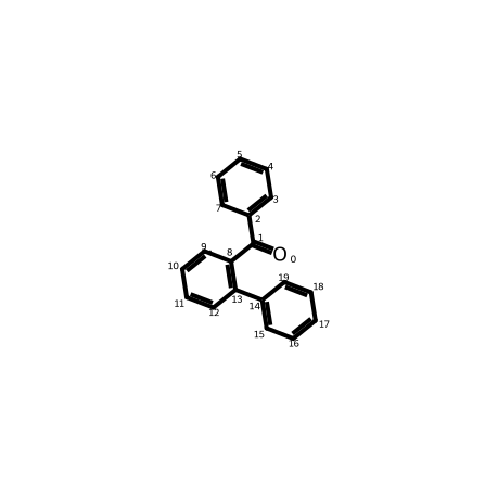 O=C(c1ccccc1)c1[c]cccc1-c1ccccc1